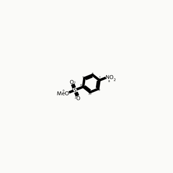 [CH2]OS(=O)(=O)c1ccc([N+](=O)[O-])cc1